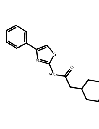 O=C(CC1CCCCC1)Nc1nc(-c2ccccc2)cs1